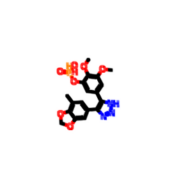 COc1cc(-c2[nH]nnc2-c2cc(C)c3c(c2)OCO3)cc(O[PH](=O)O)c1OC